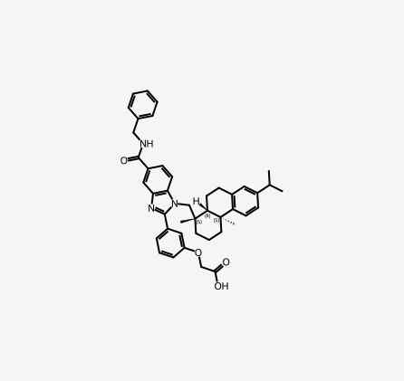 CC(C)c1ccc2c(c1)CC[C@H]1[C@@](C)(Cn3c(-c4cccc(OCC(=O)O)c4)nc4cc(C(=O)NCc5ccccc5)ccc43)CCC[C@]21C